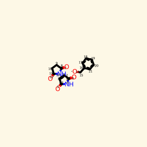 O=C1C=CC(=O)N1.O=C1CCC(=O)N1.[O]Cc1ccccc1